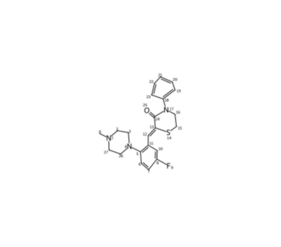 CN1CCN(c2ccc(F)cc2C=C2SCCN(c3ccccc3)C2=O)CC1